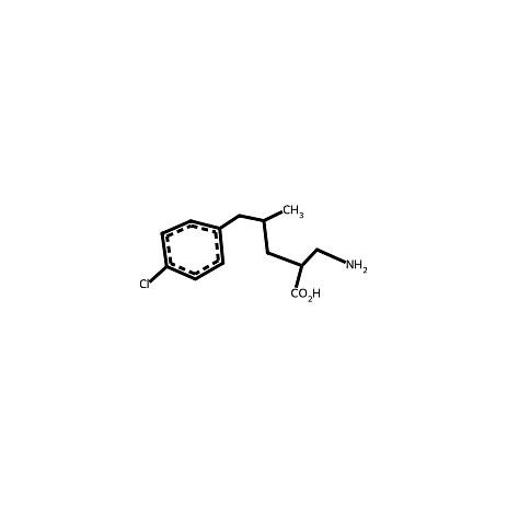 CC(Cc1ccc(Cl)cc1)CC(CN)C(=O)O